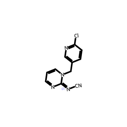 N#C/N=c1/ncccn1Cc1ccc(Cl)nc1